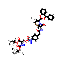 CC1=C(C(=O)OC(c2ccccc2)c2ccccc2)N2C(=O)[C@@H](NC(=O)Cc3ccc(NC(=O)OCC(NC(=O)OC(C)(C)C)C(=O)OC(C)(C)C)cc3)[C@H]2SC1